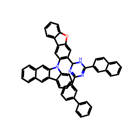 c1ccc(-c2cccc(C3=NC(c4cc5oc6ccccc6c5cc4-n4c5ccccc5c5cc6ccccc6cc54)NC(c4ccc5ccccc5c4)=N3)c2)cc1